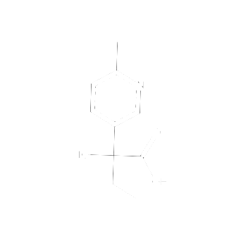 CCC(O)(C(=O)O)c1ccc(C)nc1